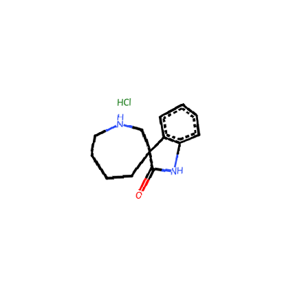 Cl.O=C1Nc2ccccc2C12CCCCNC2